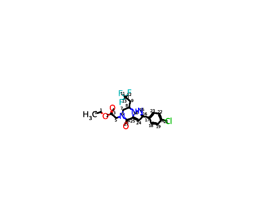 CCOC(=O)CN1CC(CC(F)(F)F)n2nc(-c3ccc(Cl)cc3)cc2C1=O